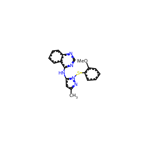 COc1ccccc1Sn1nc(C)cc1Nc1ncnc2ccccc12